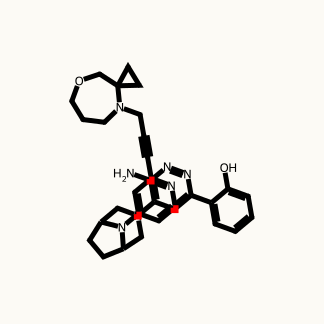 Nc1nnc(-c2ccccc2O)cc1N1CC2CCC(C1)N2c1ccnc(C#CCN2CCCOCC23CC3)c1